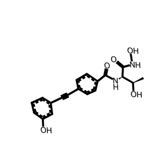 C[C@@H](O)[C@H](NC(=O)c1ccc(C#Cc2cccc(O)c2)cc1)C(=O)NO